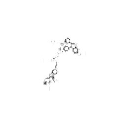 CCCN(CCCCN(C)CC#Cc1ccc2c(c1)CN(C1CCC(=O)NC1=O)C2=O)c1ccc(C2c3ccc(O)cc3OCC2c2cccc(OC)c2)cc1F